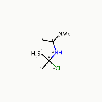 CNC(C)NC(C)([SiH3])Cl